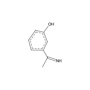 CC(=N)c1cccc(O)c1